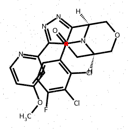 COc1ccnc(-c2nnc3n2C[C@@H]2COC[C@H]3N2C(=O)c2ccc(F)c(Cl)c2Cl)c1